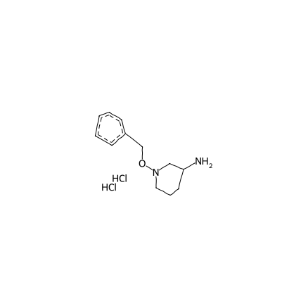 Cl.Cl.NC1CCCN(OCc2ccccc2)C1